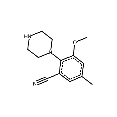 COc1cc(C)cc(C#N)c1N1CCNCC1